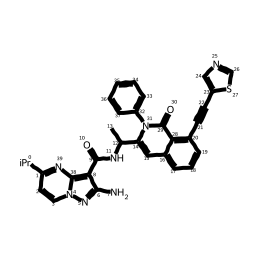 CC(C)c1ccn2nc(N)c(C(=O)NC(C)c3cc4cccc(C#Cc5cncs5)c4c(=O)n3-c3ccccc3)c2n1